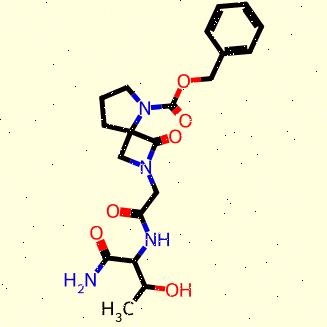 CC(O)C(NC(=O)CN1CC2(CCCN2C(=O)OCc2ccccc2)C1=O)C(N)=O